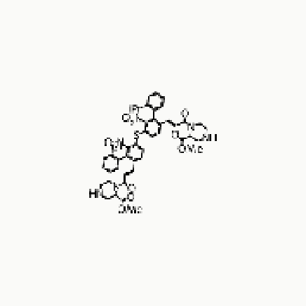 COC(=O)C1CNCCN1C(=O)/C=C/c1ccc(Sc2ccc(/C=C/C(=O)N3CCNCC3C(=O)OC)c(-c3ccccc3C(C)C)c2[N+](=O)[O-])c([N+](=O)[O-])c1-c1ccccc1C(C)C